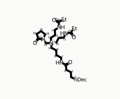 CCCCCCCCCCCCCC(=O)NCCCC[N+](CCCNC(=O)CC)(CCCNC(=O)CC)CN1CCCC1=O